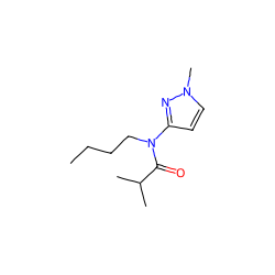 CCCCN(C(=O)C(C)C)c1ccn(C)n1